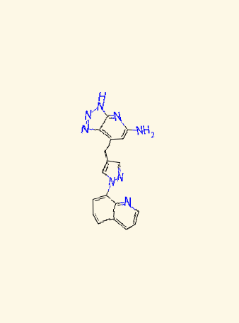 Nc1cc(Cc2cnn(-c3cccc4cccnc34)c2)c2nn[nH]c2n1